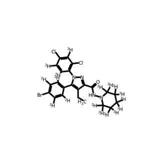 [2H]c1c([2H])c(-n2nc(C(=O)NN3C([2H])([2H])C([2H])([2H])C([2H])([2H])C([2H])([2H])C3([2H])[2H])c(CC)c2-c2c([2H])c([2H])c(Br)c([2H])c2[2H])c(Cl)c([2H])c1Cl